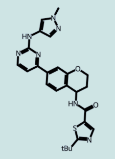 Cn1cc(Nc2nccc(-c3ccc4c(c3)OCCC4NC(=O)c3cnc(C(C)(C)C)s3)n2)cn1